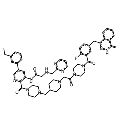 CCc1cccc(-c2cnc(C(=O)N3CCN(CC4CCN(CC(=O)N5CCN(C(=O)c6cc(Cc7n[nH]c(=O)c8ccccc78)ccc6F)CC5)CC4)CC3)c(NC(=O)CNCc3ncccn3)c2)c1